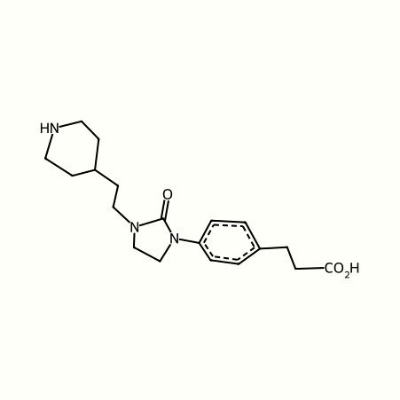 O=C(O)CCc1ccc(N2CCN(CCC3CCNCC3)C2=O)cc1